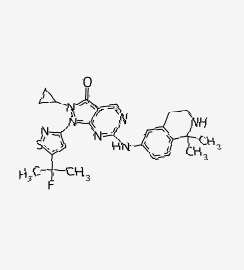 CC(C)(F)c1cc(-n2c3nc(Nc4ccc5c(c4)CCNC5(C)C)ncc3c(=O)n2C2CC2)ns1